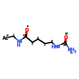 CC(=O)CNC(=O)CCCCNC(N)=O